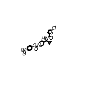 O=C(N[C@H](C1CC1)C1CCN(C(=O)Oc2ccc([N+](=O)[O-])cc2)CC1)c1ccc(Cl)s1